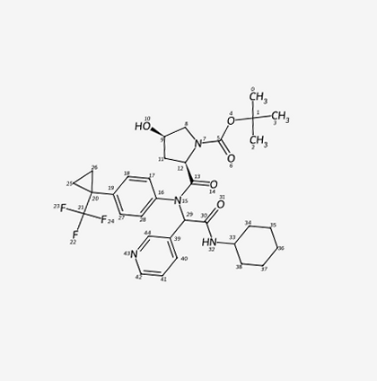 CC(C)(C)OC(=O)N1C[C@H](O)C[C@@H]1C(=O)N(c1ccc(C2(C(F)(F)F)CC2)cc1)C(C(=O)NC1CCCCC1)c1cccnc1